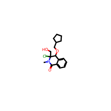 CN1C(=O)c2ccccc2C(OCC2CCCC2)C1(Cl)CO